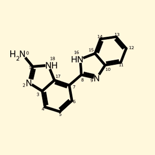 Nc1nc2cccc(-c3nc4ccccc4[nH]3)c2[nH]1